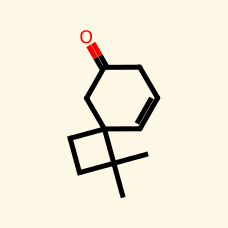 CC1(C)CCC12C=CCC(=O)C2